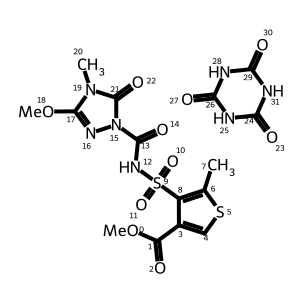 COC(=O)c1csc(C)c1S(=O)(=O)NC(=O)n1nc(OC)n(C)c1=O.O=c1[nH]c(=O)[nH]c(=O)[nH]1